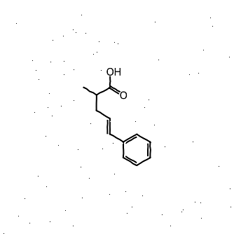 CC(CC=Cc1ccccc1)C(=O)O